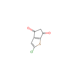 O=C1CC(=O)c2sc(Cl)cc21